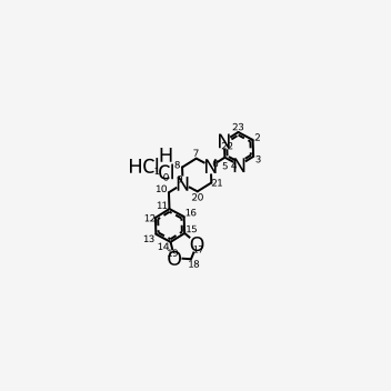 Cl.Cl.c1cnc(N2CCN(Cc3ccc4c(c3)OCO4)CC2)nc1